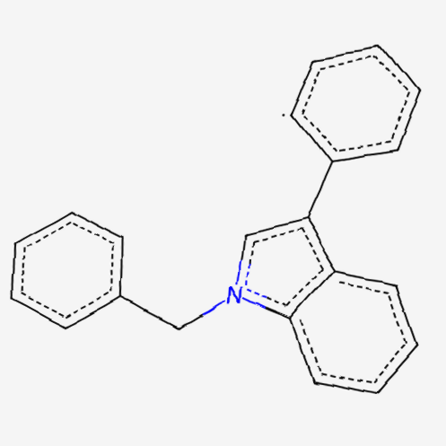 [c]1ccccc1-c1cn(Cc2ccccc2)c2ccccc12